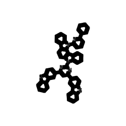 c1ccc(-c2cccc(-n3c4ccccc4c4ccc5c(c6ccccc6n5-c5nc(-c6ccc7sc8ccccc8c7c6)cc(-c6ccc7sc8ccccc8c7c6)n5)c43)n2)cc1